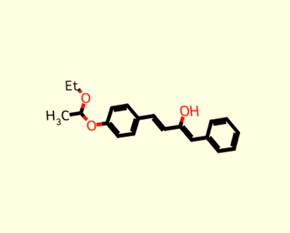 CCOC(C)Oc1ccc(C=CC(O)=Cc2ccccc2)cc1